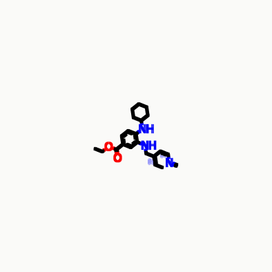 C=N/C=C\C(=C/C)CNc1cc(C(=O)OCC)ccc1NC1CCCCC1